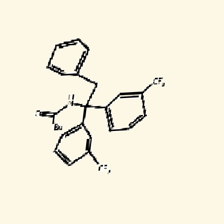 CCC(C)C(=O)NC(Cc1ccccc1)(c1cccc(C(F)(F)F)c1)c1cccc(C(F)(F)F)c1